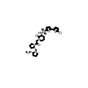 COC[C@H]1CCCN1C[C@@H]1CCCN1C(=O)CN1CCC[C@H](NS(=O)(=O)c2ccc(-c3ccc(Cl)s3)s2)C1=O